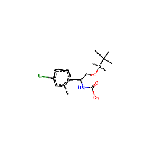 Cc1cc(Br)ccc1C(CO[Si](C)(C)C(C)(C)C)NC(=O)O